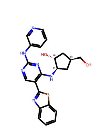 OC[C@@H]1C[C@@H](O)[C@H](Nc2nc(Nc3cccnc3)ncc2-c2nc3ccccc3s2)C1